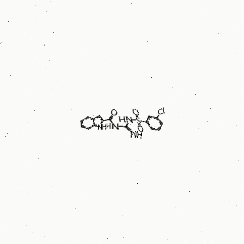 N=C(NC(=O)c1cc2ccccc2[nH]1)NS(=O)(=O)c1cccc(Cl)c1